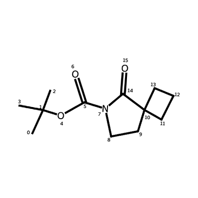 CC(C)(C)OC(=O)N1CCC2(CCC2)C1=O